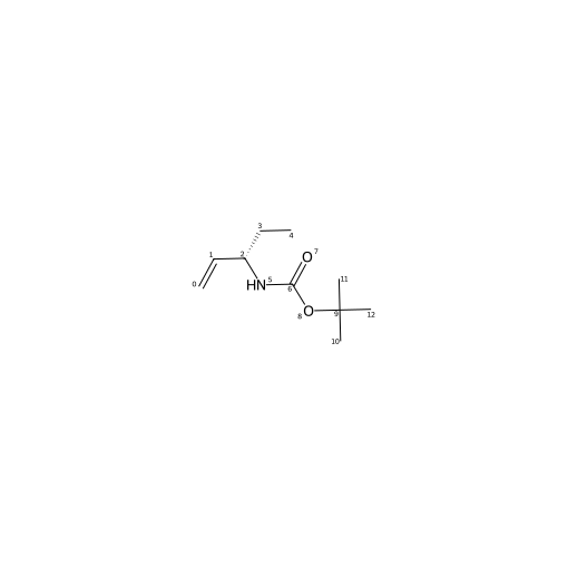 C=C[C@H](CC)NC(=O)OC(C)(C)C